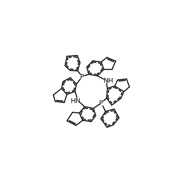 C1=Cc2c(ccc3c2Nc2c(ccc4c2CC=C4)P(c2ccccc2)c2ccc4c(c2Nc2c(ccc5c2CC=C5)P3c2ccccc2)C=CC4)C1